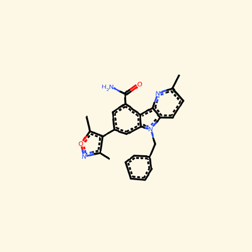 Cc1ccc2c(n1)c1c(C(N)=O)cc(-c3c(C)noc3C)cc1n2Cc1ccccc1